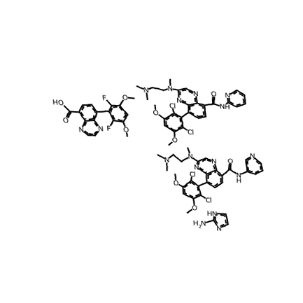 COc1cc(OC)c(Cl)c(-c2ccc(C(=O)Nc3ccccn3)c3ncc(N(C)CCN(C)C)nc23)c1Cl.COc1cc(OC)c(Cl)c(-c2ccc(C(=O)Nc3cccnc3)c3ncc(N(C)CCN(C)C)nc23)c1Cl.COc1cc(OC)c(F)c(-c2ccc(C(=O)O)c3nccnc23)c1F.Nc1ncc[nH]1